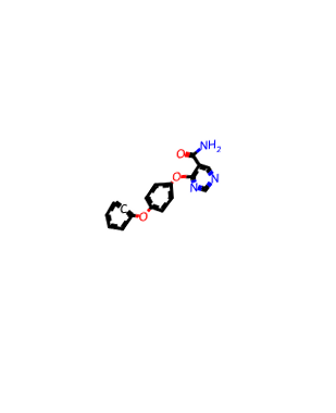 NC(=O)c1cncnc1Oc1ccc(Oc2ccccc2)cc1